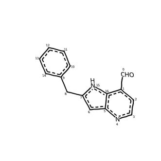 O=Cc1ccnc2cc(Cc3ccccc3)[nH]c12